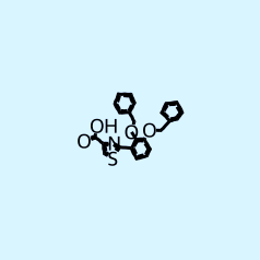 O=C(O)c1csc(-c2cccc(OCc3ccccc3)c2OCc2ccccc2)n1